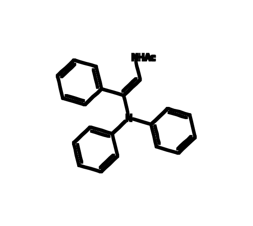 CC(=O)N/C=C(\c1ccccc1)N(c1ccccc1)c1ccccc1